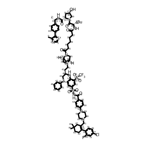 Cc1ncsc1-c1ccc([C@H](C)NC(=O)[C@@H]2C[C@@H](O)CN2C(=O)[C@@H](NC(=O)CCCCCC(=O)N2C[C@@H]3C[C@H]2CN3CC[C@H](CSc2ccccc2)Nc2ccc(S(=O)(=O)NC(=O)c3ccc(N4CCN(CC5=C(c6ccc(Cl)cc6F)CCC(C)(C)C5)CC4)cc3)cc2S(=O)(=O)C(F)(F)F)C(C)(C)C)cc1